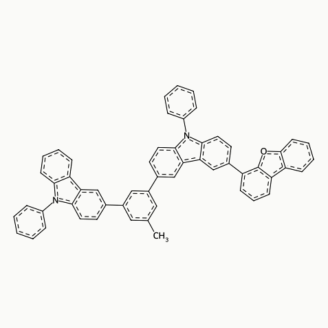 Cc1cc(-c2ccc3c(c2)c2ccccc2n3-c2ccccc2)cc(-c2ccc3c(c2)c2cc(-c4cccc5c4oc4ccccc45)ccc2n3-c2ccccc2)c1